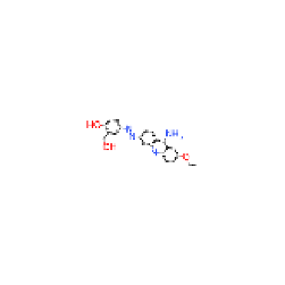 CCOc1ccc2nc3cc(/N=N/c4ccc(O)c(CO)c4)ccc3c(N)c2c1